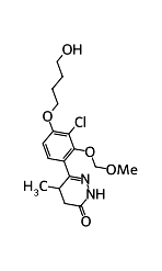 COCOc1c(C2=NNC(=O)CC2C)ccc(OCCCCO)c1Cl